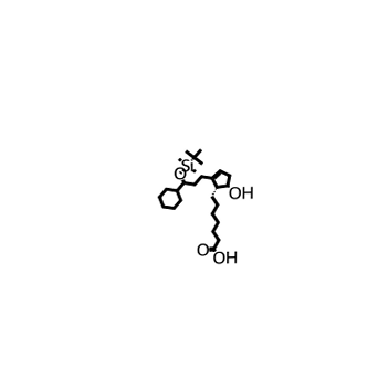 CC(C)(C)[Si](C)(C)OC(CCC1=CC[C@H](O)[C@@H]1CCCCCCC(=O)O)C1CCCCC1